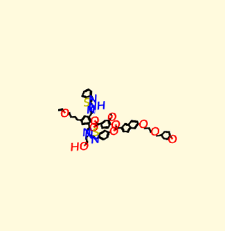 C=COCCCCc1cc(/C=N/Nc2nc3ccccc3s2)c(OC(=O)c2ccc(OC(=O)c3ccc4cc(OCCCOCC5CCC6OC6C5)ccc4c3)c(OC)c2)c(/C=N/N(CCO)c2nc3ccccc3s2)c1